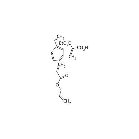 C=C(C(=O)O)C(=O)OCC.C=CCOC(=O)C=C.C=Cc1ccccc1